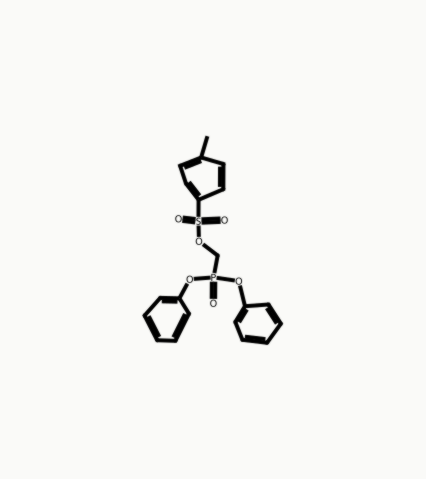 Cc1ccc(S(=O)(=O)OCP(=O)(Oc2ccccc2)Oc2ccccc2)cc1